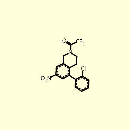 O=C(N1CCc2c(cc([N+](=O)[O-])cc2-c2ccccc2Cl)C1)C(F)(F)F